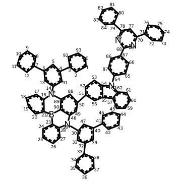 c1ccc(-c2cc(-c3ccccc3)cc(N3c4ccccc4B4c5ccccc5N(c5cc(-c6ccccc6)cc(-c6ccccc6)c5)c5cc(-c6ccc7c(c6)c6ccccc6n7-c6ccc(-c7nc(-c8ccccc8)cc(-c8ccccc8)n7)cc6)cc3c54)c2)cc1